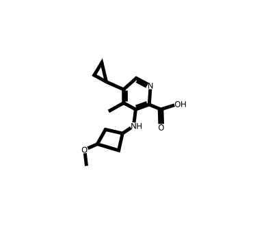 COC1CC(Nc2c(C(=O)O)ncc(C3CC3)c2C)C1